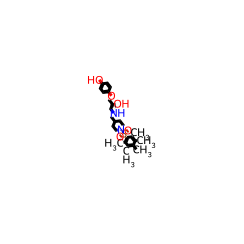 Cc1c(C)c(C)c(S(=O)(=O)N2CCC(CNC[C@H](O)COc3ccc(O)cc3)CC2)c(C)c1C